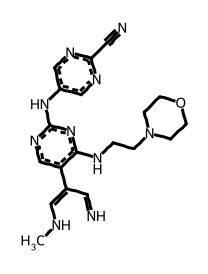 CN/C=C(\C=N)c1cnc(Nc2cnc(C#N)nc2)nc1NCCN1CCOCC1